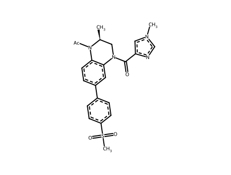 CC(=O)N1c2ccc(-c3ccc(S(C)(=O)=O)cc3)cc2N(C(=O)c2cn(C)cn2)C[C@@H]1C